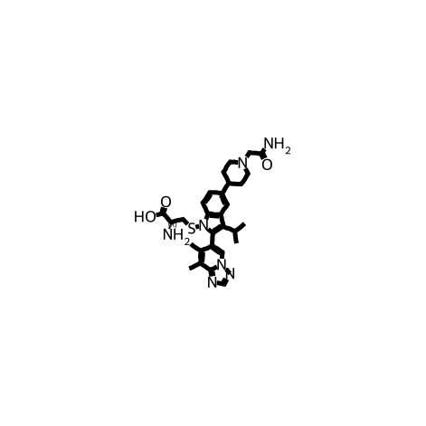 Cc1c(-c2c(C(C)C)c3cc(C4CCN(CC(N)=O)CC4)ccc3n2SC[C@H](N)C(=O)O)cn2ncnc2c1C